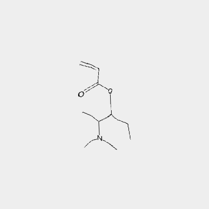 C=CC(=O)OC(CC)C(C)N(C)C